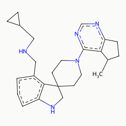 CC1CCc2ncnc(N3CCC4(CC3)CNc3cccc(CNCC5CC5)c34)c21